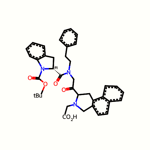 CC(C)(C)OC(=O)N1c2ccccc2C[C@@H]1C(=O)N(CCc1ccccc1)CC(=O)C1Cc2c(ccc3ccccc23)CN1CC(=O)O